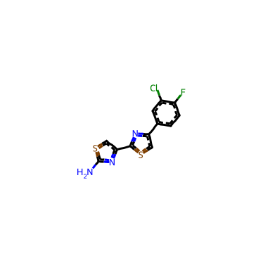 Nc1nc(-c2nc(-c3ccc(F)c(Cl)c3)cs2)cs1